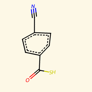 N#Cc1ccc(C(=O)S)cc1